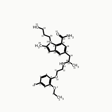 CCOc1cc(F)ccc1OCCN[C@H](C)Cc1cc(C(N)=O)c2c(c1)cc(C)n2CCCO